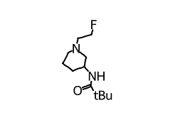 CC(C)(C)C(=O)NC1CCCN(CCF)C1